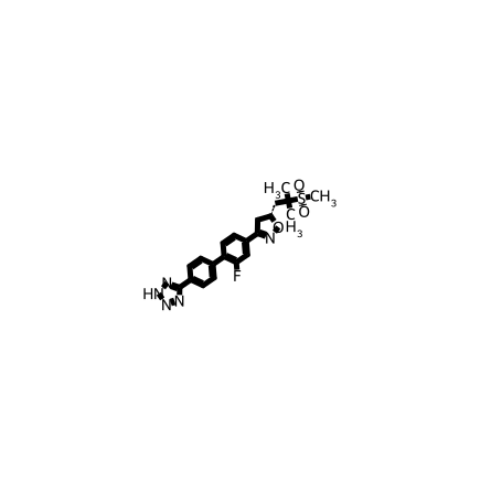 CC(C)(C[C@H]1CC(c2ccc(-c3ccc(-c4nn[nH]n4)cc3)c(F)c2)=NO1)S(C)(=O)=O